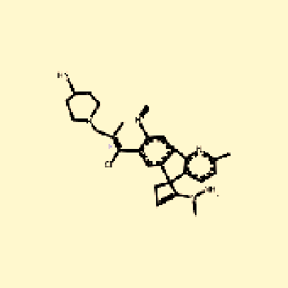 C=Nc1ccc(C2(c3ccc(C)nc3C)CC=C2N(C)N)cc1/C(Cl)=C(\C)CN1CCC(S)CC1